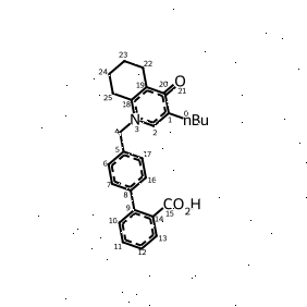 CCCCc1cn(Cc2ccc(-c3ccccc3C(=O)O)cc2)c2c(c1=O)CCCC2